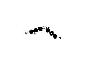 Cc1cc(-c2ccc(-c3ccc(C#N)cc3)c(F)c2)ccc1OCOc1ccc(-c2ccc(-c3ccc(C#N)cc3)c(F)c2)cc1C